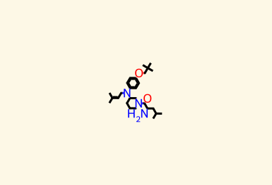 CC(C)=CCN(c1ccc(OCC(C)(C)C)cc1)C1CCCN(C(=O)C(N)CC(C)C)C1